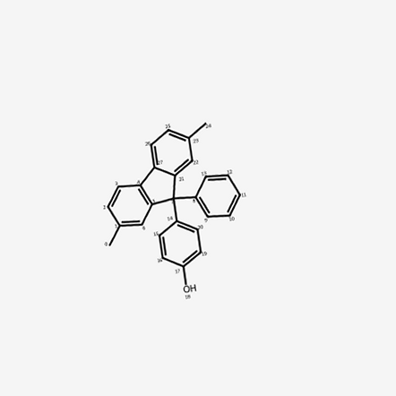 Cc1ccc2c(c1)C(c1ccccc1)(c1ccc(O)cc1)c1cc(C)ccc1-2